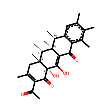 CC(=O)C1=C(C)C[C@@]2(C)[C@H](C)[C@]3(C)C(=C(O)[C@@]2(O)C1=O)C(=O)c1c(cc(C)c(C)c1C)[C@H]3C